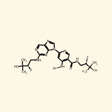 CC(C)Nc1cc(-n2cnc3cnc(NC[C@@H](F)C(C)(C)O)nc32)ncc1C(=O)NC[C@@H](F)C(C)(C)O